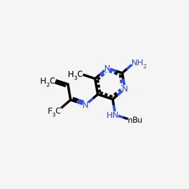 C=C/C(=N\c1c(C)nc(N)nc1NCCCC)C(F)(F)F